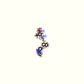 Cc1c(NC(=O)CCC[C@H]2CC[C@@H](Oc3ccc4nnc([C@]5(C)CCCN5C)n4c3)c3ccccc32)cc(C(C)(C)C)cc1NS(C)(=O)=O